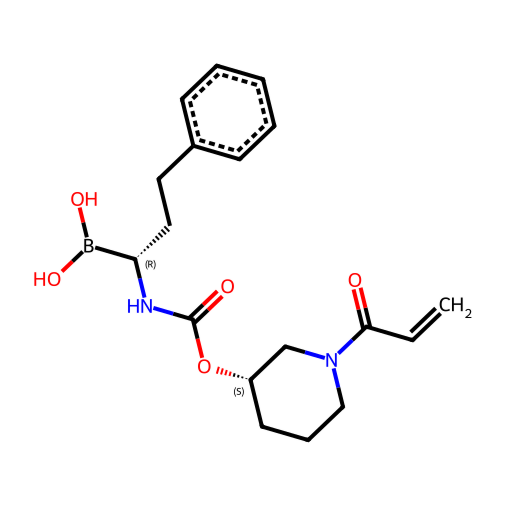 C=CC(=O)N1CCC[C@H](OC(=O)N[C@@H](CCc2ccccc2)B(O)O)C1